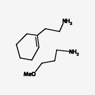 COCCCN.NCCC1=CCCCC1